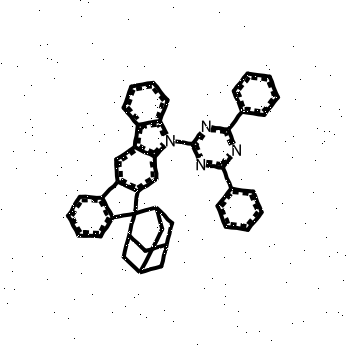 c1ccc(-c2nc(-c3ccccc3)nc(-n3c4ccccc4c4cc5c(cc43)C3(c4ccccc4-5)C4CC5CC(C4)CC3C5)n2)cc1